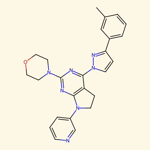 Cc1cccc(-c2ccn(-c3nc(N4CCOCC4)nc4c3CCN4c3cccnc3)n2)c1